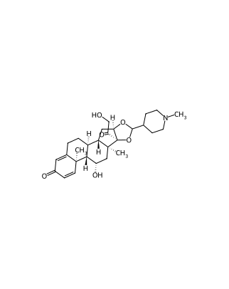 CN1CCC(C2O[C@@H]3C[C@H]4[C@@H]5CCC6=CC(=O)C=C[C@]6(C)[C@H]5[C@@H](O)C[C@]4(C)[C@]3(C(=O)CO)O2)CC1